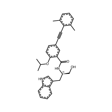 Cc1cccc(C)c1C#Cc1ccc(OC(C)C)c(C(=O)N[C@@H](CO)Cc2c[nH]c3ccccc23)c1